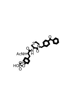 CC(=O)N[C@@H](Cc1ccc(OP(=O)(O)O)cc1)C(=O)N[C@H]1CSCCN(Cc2ccc(C(=O)c3ccccc3)cc2)C1=O